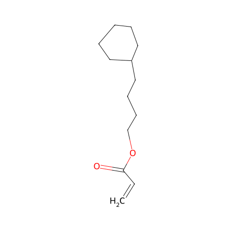 C=CC(=O)OCCCCC1CCCCC1